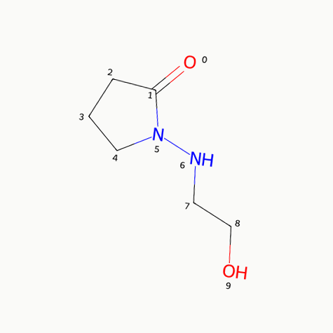 O=C1CCCN1NCCO